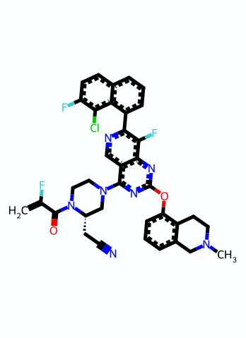 C=C(F)C(=O)N1CCN(c2nc(Oc3cccc4c3CCN(C)C4)nc3c(F)c(-c4cccc5ccc(F)c(Cl)c45)ncc23)C[C@@H]1CC#N